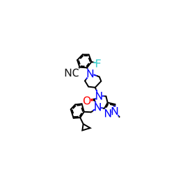 Cn1cc2c(n1)N(Cc1ccccc1C1CC1)C(=O)N(C1CCN(c3c(F)cccc3C#N)CC1)C2